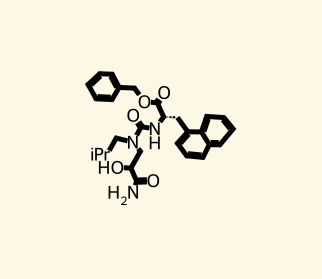 CC(C)CN(CC(O)C(N)=O)C(=O)N[C@@H](Cc1cccc2ccccc12)C(=O)OCc1ccccc1